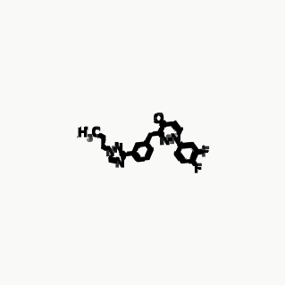 CCCn1cnc(-c2cccc(Cc3nn(-c4ccc(F)c(F)c4)ccc3=O)c2)n1